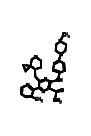 Cc1cccnc1-c1nc(C(N)=O)c(Nc2ccc(N3CCN(C)CC3)cc2)nc1CC1CCOCC12CC2